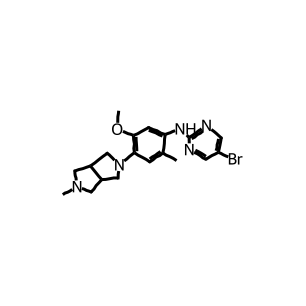 COc1cc(Nc2ncc(Br)cn2)c(C)cc1N1CC2CN(C)CC2C1